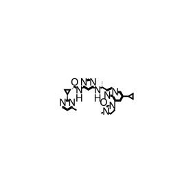 Cc1ccnc([C@H]2C[C@@H]2C(=O)Nc2cc(N[C@H](C)c3cn4cc(C5CC5)cc(N5CCN(C)C5=O)c4n3)ncn2)n1